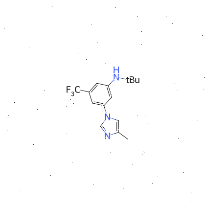 Cc1cn(-c2cc(NC(C)(C)C)cc(C(F)(F)F)c2)cn1